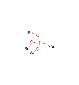 CCC(C)[O][Hf]([O]C(C)CC)([O]C(C)CC)[O]C(C)CC